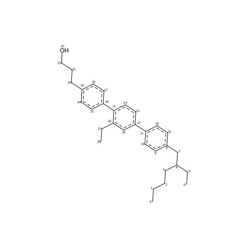 CCCCC(CC)Cc1ccc(-c2ccc(-c3ccc(CCCO)cc3)c(CC)c2)cc1